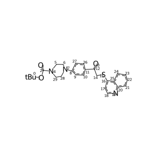 CC(C)(C)OC(=O)N1CCN(c2ccc(C(=O)CSc3ccnc4ccccc34)cc2)CC1